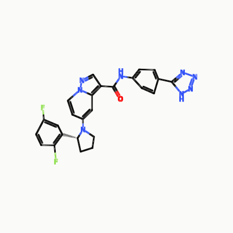 O=C(Nc1ccc(-c2nnn[nH]2)cc1)c1cnn2ccc(N3CCC[C@@H]3c3cc(F)ccc3F)cc12